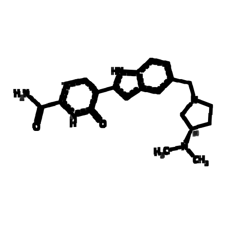 CN(C)[C@@H]1CCN(Cc2ccc3[nH]c(-c4c[c]c(C(N)=O)[nH]c4=O)cc3c2)C1